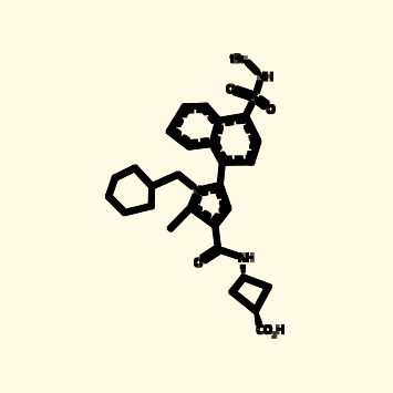 Cc1c(C(=O)N[C@H]2C[C@H](C(=O)O)C2)cc(-c2ccc(S(=O)(=O)NC(C)(C)C)c3ccccc23)n1CC1CCCCC1